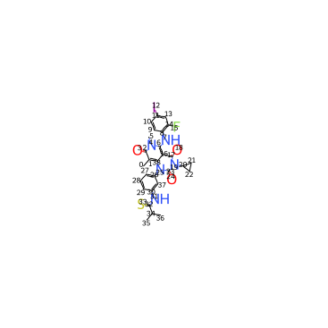 Cc1c(=O)n(C)c(Nc2ccc(I)cc2F)c2c(=O)n(C3CC3)c(=O)n(-c3cccc(NC(=S)C(C)C)c3)c12